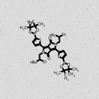 CCCCC(CC)CN1C(=O)C2=C(c3ccc(B4OC(C)(C)C(C)(C)O4)s3)N(CC(CC)CCCC)C(=O)C2=C1c1ccc(B2OC(C)(C)C(C)(C)O2)s1